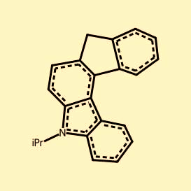 CC(C)n1c2ccccc2c2c3c(ccc21)Cc1ccccc1-3